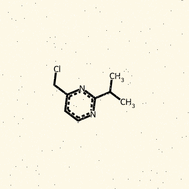 CC(C)c1n[c]cc(CCl)n1